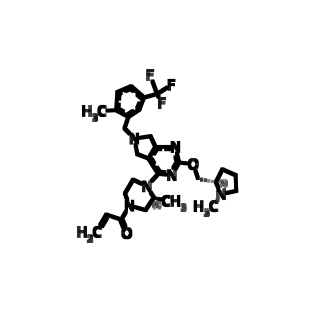 C=CC(=O)N1CCN(c2nc(OC[C@@H]3CCCN3C)nc3c2CN(Cc2cc(C(F)(F)F)ccc2C)C3)[C@@H](C)C1